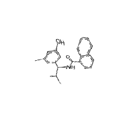 Cc1cc(O)cc([C@@H](NC(=O)c2cccc3ccccc23)C(C)C)c1